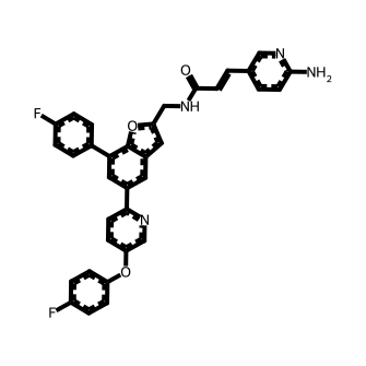 Nc1ccc(/C=C/C(=O)NCc2cc3cc(-c4ccc(Oc5ccc(F)cc5)cn4)cc(-c4ccc(F)cc4)c3o2)cn1